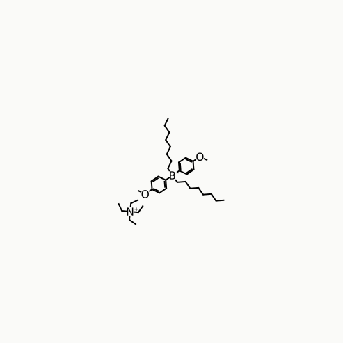 CCCCCCCC[B-](CCCCCCCC)(c1ccc(OC)cc1)c1ccc(OC)cc1.CC[N+](CC)(CC)CC